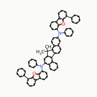 CC1(C)c2cc(N(c3ccccc3)c3cccc4c3oc3c(-c5ccccc5)cccc34)c3ccccc3c2-c2ccc3cc(N(c4ccccc4)c4cccc5c4oc4c(-c6ccccc6)cccc45)ccc3c21